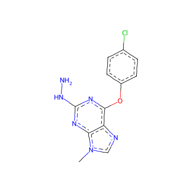 Cn1cnc2c(Oc3ccc(Cl)cc3)nc(NN)nc21